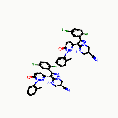 Cc1ccccc1-n1nc(-c2c(-c3cc(F)ccc3F)nn3c2NCC(C#N)C3)ccc1=O.Cc1ccccc1-n1nc(-c2c(-c3cc(F)ccc3F)nn3c2NCC(C#N)C3)ccc1=O